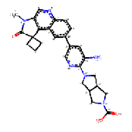 CN1C(=O)C2(CCC2)c2c1cnc1ccc(-c3cnc(N4CC5CN(C(=O)O)CC5C4)c(N)c3)cc21